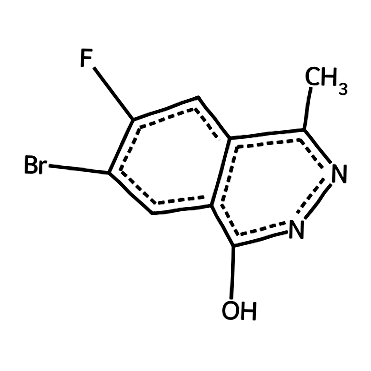 Cc1nnc(O)c2cc(Br)c(F)cc12